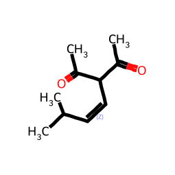 CC(=O)C(/C=C\C(C)C)C(C)=O